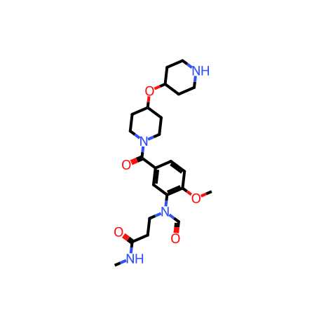 CNC(=O)CCN(C=O)c1cc(C(=O)N2CCC(OC3CCNCC3)CC2)ccc1OC